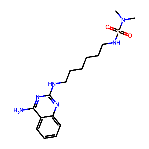 CN(C)S(=O)(=O)NCCCCCCNc1nc(N)c2ccccc2n1